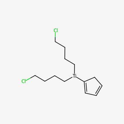 ClCCC[CH2][Ti]([CH2]CCCCl)[C]1=CC=CC1